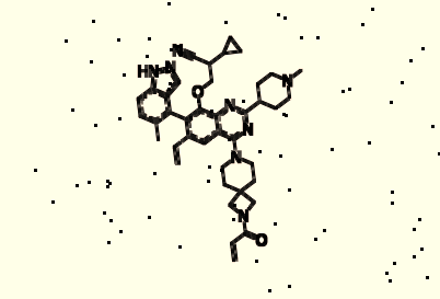 C=CC(=O)N1CC2(CCN(c3nc(C4CCN(C)CC4)nc4c(OCC(C#N)C5CC5)c(-c5c(C)ccc6[nH]ncc56)c(C=C)cc34)CC2)C1